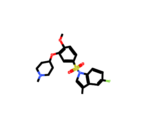 COc1ccc(S(=O)(=O)n2cc(C)c3cc(F)ccc32)cc1OC1CCN(C)CC1